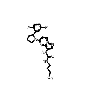 O=C(NCCCO)Nc1cnn2ccc(N3CCCC3c3cc(F)ccc3F)nc12